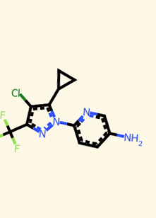 Nc1ccc(-n2nc(C(F)(F)F)c(Cl)c2C2CC2)nc1